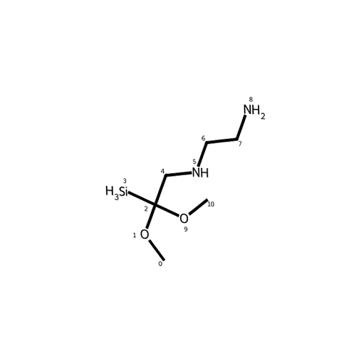 COC([SiH3])(CNCCN)OC